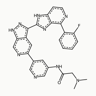 CN(C)CC(=O)Nc1cncc(-c2cc3c(-c4nc5c(-c6ccccc6F)nccc5[nH]4)n[nH]c3cn2)c1